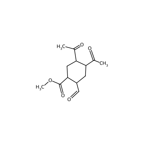 COC(=O)C1CC(C(C)=O)C(C(C)=O)CC1C=O